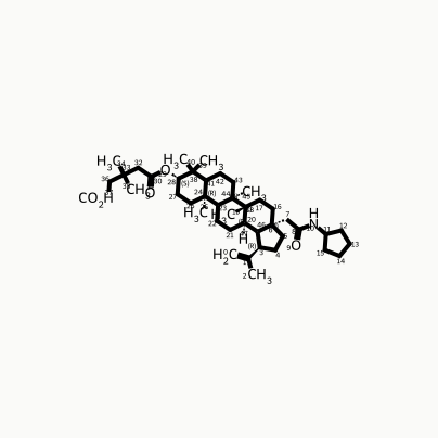 C=C(C)[C@@H]1CC[C@]2(CC(=O)NC3CCCC3)CC[C@]3(C)[C@H](CCC4[C@@]5(C)CC[C@H](OC(=O)CC(C)(C)CC(=O)O)C(C)(C)C5CC[C@]43C)C12